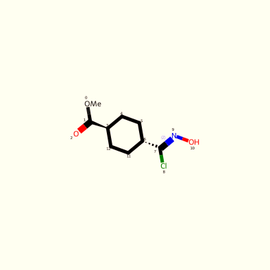 COC(=O)[C@H]1CC[C@H](/C(Cl)=N/O)CC1